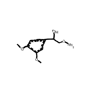 COc1ccc(C(O)CON)cc1OC